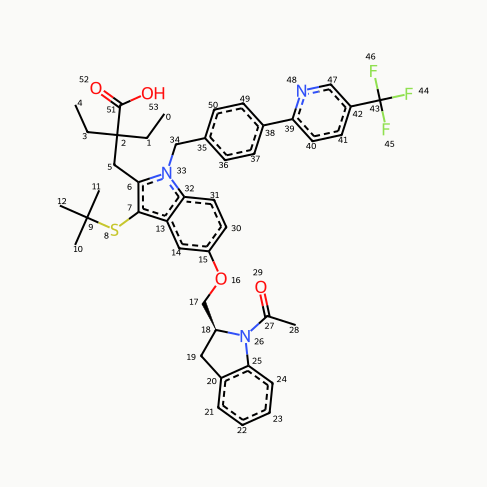 CCC(CC)(Cc1c(SC(C)(C)C)c2cc(OC[C@@H]3Cc4ccccc4N3C(C)=O)ccc2n1Cc1ccc(-c2ccc(C(F)(F)F)cn2)cc1)C(=O)O